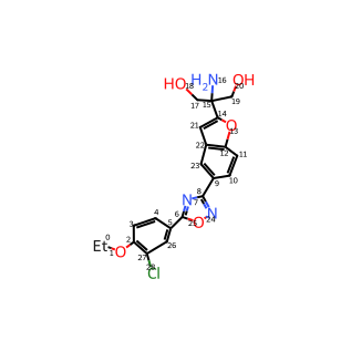 CCOc1ccc(-c2nc(-c3ccc4oc(C(N)(CO)CO)cc4c3)no2)cc1Cl